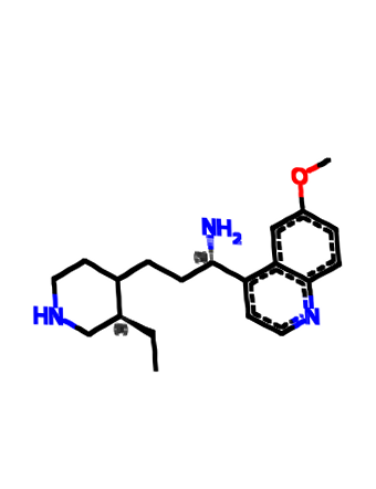 CC[C@H]1CNCCC1CC[C@H](N)c1ccnc2ccc(OC)cc12